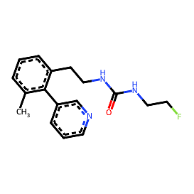 Cc1cccc(CCNC(=O)NCCF)c1-c1cccnc1